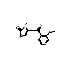 CCc1cnccc1C(=O)c1c[nH]c(=O)[nH]1